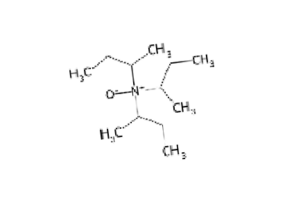 CCC(C)[N+]([O-])(C(C)CC)C(C)CC